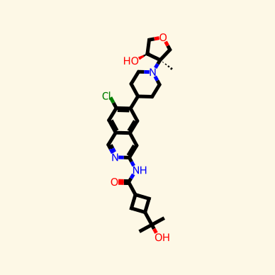 CC(C)(O)C1CC(C(=O)Nc2cc3cc(C4CCN([C@]5(C)COC[C@@H]5O)CC4)c(Cl)cc3cn2)C1